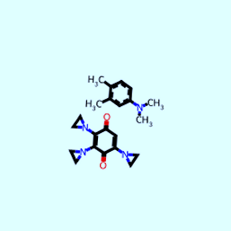 Cc1ccc(N(C)C)cc1C.O=C1C=C(N2CC2)C(=O)C(N2CC2)=C1N1CC1